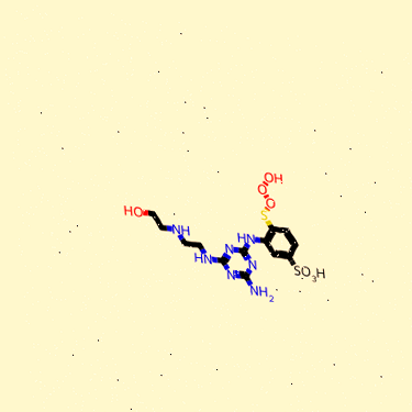 Nc1nc(NCCNCCO)nc(Nc2cc(S(=O)(=O)O)ccc2SOOO)n1